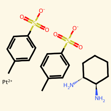 Cc1ccc(S(=O)(=O)[O-])cc1.Cc1ccc(S(=O)(=O)[O-])cc1.N[C@@H]1CCCC[C@H]1N.[Pt+2]